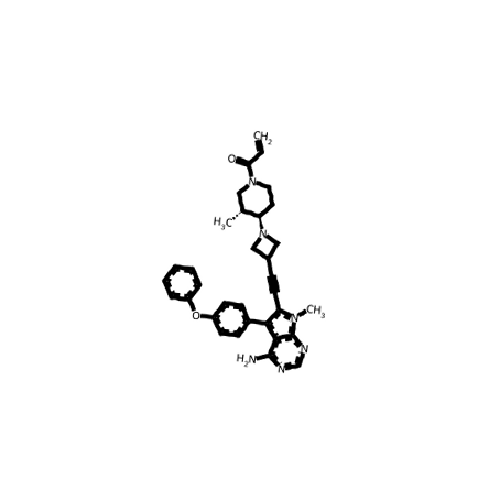 C=CC(=O)N1CC[C@@H](N2CC(C#Cc3c(-c4ccc(Oc5ccccc5)cc4)c4c(N)ncnc4n3C)C2)[C@H](C)C1